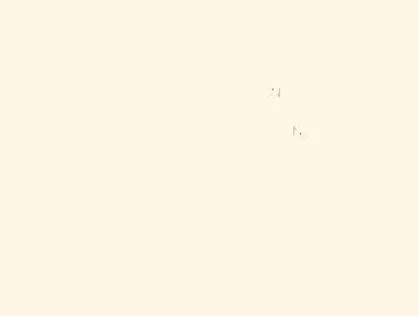 c1ccc(-n2c(-c3ccc(-c4c5oc6ccccc6c5cc5c4oc4ccccc45)cc3)nc3ccccc32)cc1